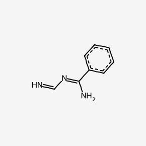 N=C/N=C(\N)c1ccccc1